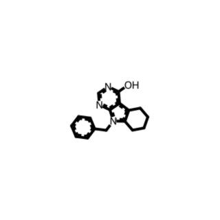 Oc1ncnc2c1c1c(n2Cc2ccccc2)CCCC1